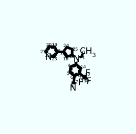 CCN(c1ccc(C#N)c(C(F)(F)F)c1)C1C=C(c2cccnc2)CC1